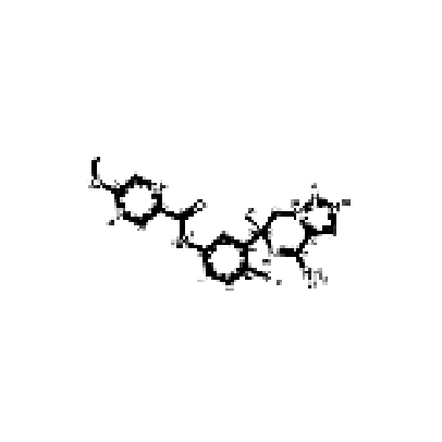 COc1cnc(C(=O)Nc2ccc(F)c([C@]3(C)Cn4nncc4C(N)=N3)c2)cn1